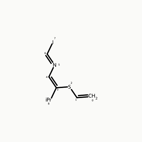 C=CS/C(=C\N=C\I)C(C)C